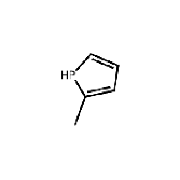 Cc1ccc[pH]1